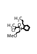 C=CCc1ccccc1N(CCOC)C(=O)C(C)Cl